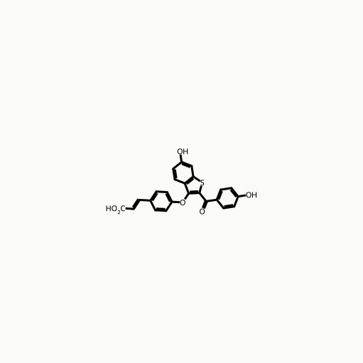 O=C(O)C=Cc1ccc(Oc2c(C(=O)c3ccc(O)cc3)sc3cc(O)ccc23)cc1